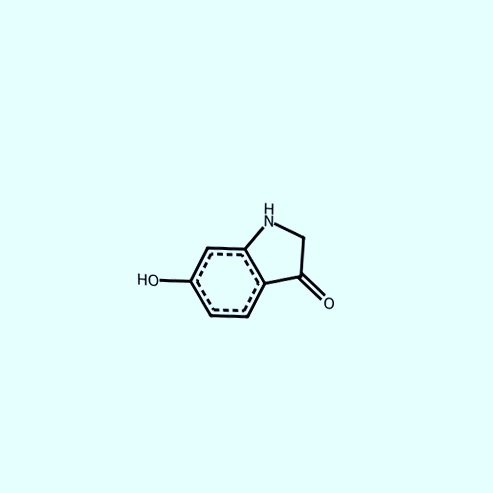 O=C1CNc2cc(O)ccc21